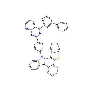 c1ccc(-c2cccc(-c3nc(-c4ccc(-n5c6ccccc6c6c7ccccc7c7sc8ccccc8c7c65)cc4)nc4ncccc34)c2)cc1